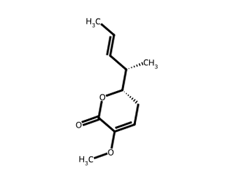 C/C=C/[C@H](C)[C@@H]1CC=C(OC)C(=O)O1